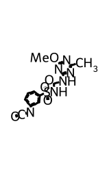 COc1nc(C)nc(NC(=O)NS(=O)(=O)c2cccc(N=C=O)c2)n1